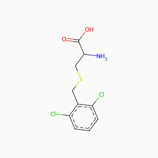 NC(CSCc1c(Cl)cccc1Cl)C(=O)O